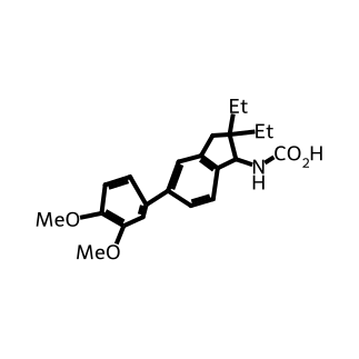 CCC1(CC)Cc2cc(-c3ccc(OC)c(OC)c3)ccc2C1NC(=O)O